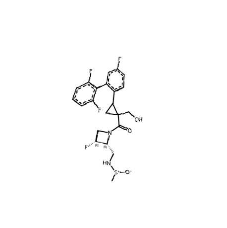 C[S+]([O-])NC[C@@H]1[C@H](F)CN1C(=O)C1(CO)CC1c1ccc(F)cc1-c1c(F)cccc1F